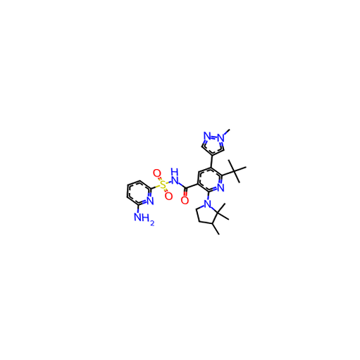 CC1CCN(c2nc(C(C)(C)C)c(-c3cnn(C)c3)cc2C(=O)NS(=O)(=O)c2cccc(N)n2)C1(C)C